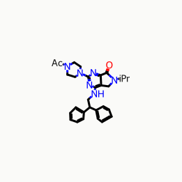 CC(=O)N1CCN(c2nc(NCC(c3ccccc3)c3ccccc3)c3c(n2)C(=O)N(C(C)C)C3)CC1